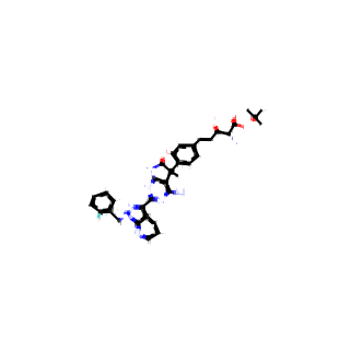 CC(C)(C)OC(=O)[C@@H](N)C(=O)CCc1ccc(C2(C)C(=O)Nc3nc(-c4nn(Cc5ccccc5F)c5ncccc45)nc(N)c32)cc1